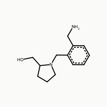 NCc1ccccc1CN1CCCC1CO